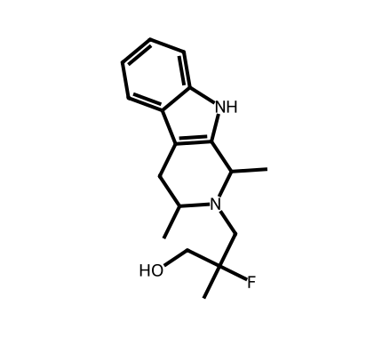 CC1Cc2c([nH]c3ccccc23)C(C)N1CC(C)(F)CO